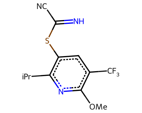 COc1nc(C(C)C)c(SC(=N)C#N)cc1C(F)(F)F